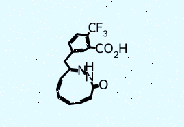 O=C(O)c1cc(Cc2ccccccc(=O)[nH]n2)ccc1C(F)(F)F